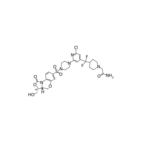 NC(=O)CN1CCC(C(F)(F)c2cc(Cl)nc(N3CCN(S(=O)(=O)c4ccc5c(c4)OC[C@@H]4[C@H](CO)OC(=O)N54)CC3)c2)CC1